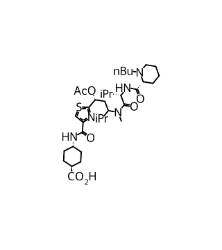 CCCCN1CCCC[C@@H]1C(=O)N[C@H](C(=O)N(C)C(C[C@@H](OC(C)=O)c1nc(C(=O)N[C@H]2CC[C@H](C(=O)O)CC2)cs1)C(C)C)C(C)C